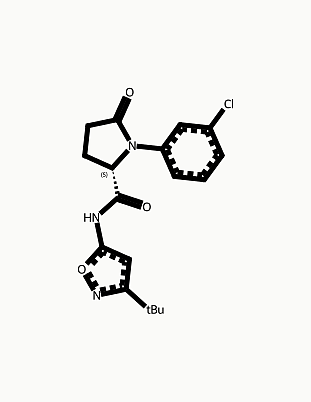 CC(C)(C)c1cc(NC(=O)[C@@H]2CCC(=O)N2c2cccc(Cl)c2)on1